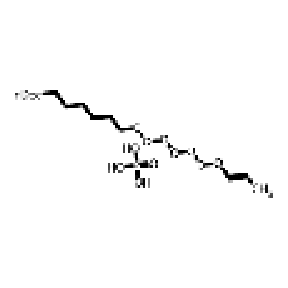 CC=COOOOOOOCCCCCCCCCCCCCCCC.O=P(O)(O)O